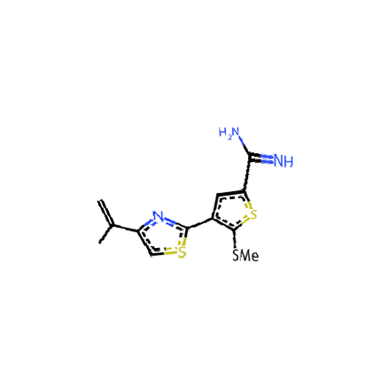 C=C(C)c1csc(-c2cc(C(=N)N)sc2SC)n1